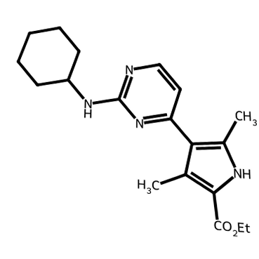 CCOC(=O)c1[nH]c(C)c(-c2ccnc(NC3CCCCC3)n2)c1C